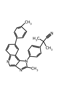 Cc1ccc(-c2ccc3ncc4nc(C)n(-c5ccc(C(C)(C)C#N)cc5)c4c3c2)cc1